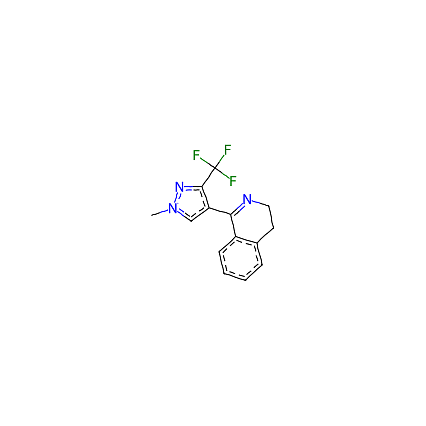 Cn1cc(C2=NCCc3ccccc32)c(C(F)(F)F)n1